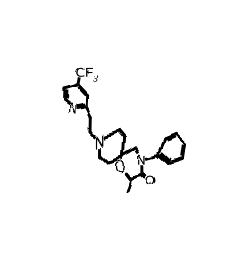 CC1OC2(CCN(CCc3cc(C(F)(F)F)ccn3)CC2)CN(c2ccccc2)C1=O